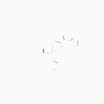 CCC(CC)O[C@@H]1C=C(C(=O)c2cccs2)C[C@H](NC(=O)OC(C)(C)C)[C@H]1NC(C)=O